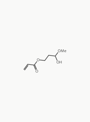 C=CC(=O)OCCC(O)OC